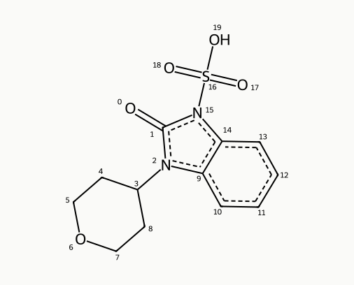 O=c1n(C2CCOCC2)c2ccccc2n1S(=O)(=O)O